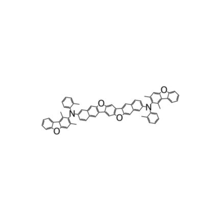 Cc1ccccc1N(c1ccc2cc3c(cc2c1)oc1cc2c(cc13)oc1cc3cc(N(c4ccccc4C)c4c(C)cc5oc6ccccc6c5c4C)ccc3cc12)c1c(C)cc2oc3ccccc3c2c1C